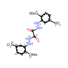 COc1ccc([N+](=O)[O-])cc1NNC(=O)C(=O)NNc1cc([N+](=O)[O-])ccc1OC